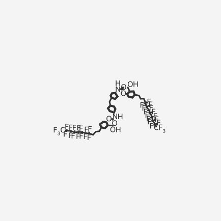 O=C(Nc1ccc(Cc2ccc(NC(=O)Oc3ccc(CCCC(F)(F)C(F)(F)C(F)(F)C(F)(F)C(F)(F)C(F)(F)C(F)(F)C(F)(F)F)cc3CO)cc2)cc1)Oc1ccc(CCCC(F)(F)C(F)(F)C(F)(F)C(F)(F)C(F)(F)C(F)(F)C(F)(F)C(F)(F)F)cc1CO